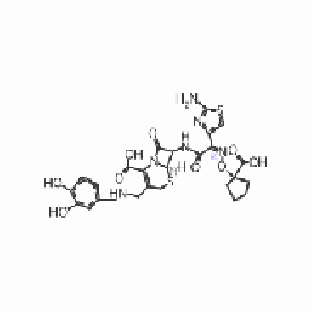 Nc1nc(/C(=N/OC2(C(=O)O)CCCC2)C(=O)NC2C(=O)N3C(C(=O)O)=C(CNCc4ccc(O)c(O)c4)CS[C@H]23)cs1